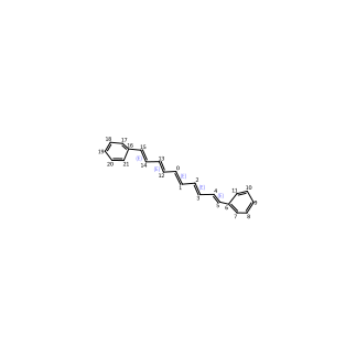 C(=C\C=C\C=C\c1ccccc1)/C=C/C=C/c1ccccc1